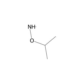 CC(C)O[NH]